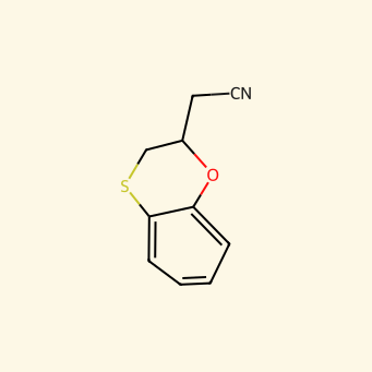 N#CCC1CSc2ccccc2O1